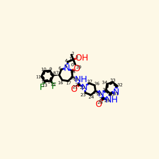 CC(C)(O)CN1C[C@H](c2cccc(F)c2F)CC[C@@H](NC(=O)N2CCC(n3c(=O)[nH]c4ncccc43)CC2)C1=O